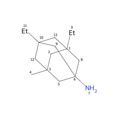 CCC12CC3(C)CC(N)(C1)CC(CC)(C3)C2